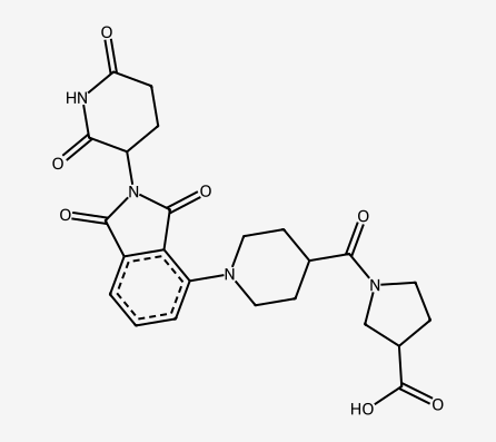 O=C1CCC(N2C(=O)c3cccc(N4CCC(C(=O)N5CCC(C(=O)O)C5)CC4)c3C2=O)C(=O)N1